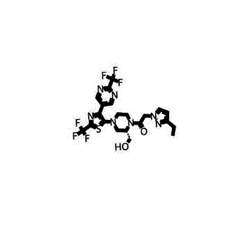 CCc1ccn(CC(=O)N2CCN(c3sc(C(F)(F)F)nc3-c3cnc(C(F)(F)F)nc3)C[C@H]2CO)n1